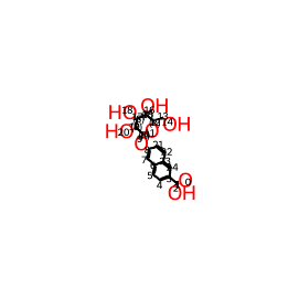 O=C(O)c1ccc2cc(O[C@H]3O[C@H](CO)[C@H](O)[C@H](O)[C@H]3O)ccc2c1